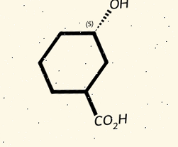 O=C(O)C1CCC[C@H](O)C1